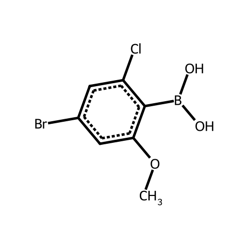 COc1cc(Br)cc(Cl)c1B(O)O